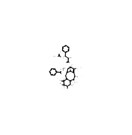 CC(=O)O[C@H]1C(=O)[C@@]2(C)[C@H]([C@H](OC(=O)c3ccccc3)[C@]3(O)C[C@H](OC(=O)[C@H](O)[C@@H](NC(=O)OC(C)(C)C)c4ccccc4)C(C)=C1C3(C)C)[C@]1(OC(C)=O)OO[C@@H]1C(F)[C@@H]2O